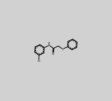 O=C(CSc1ccccc1)Nc1cccc(Cl)c1